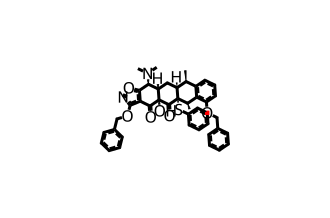 C[C@@H]1c2c(OCc3ccccc3)cccc2[C@H](C)[C@@H]2C[C@H]3[C@H](N(C)C)c4onc(OCc5ccccc5)c4C(=O)[C@@]3(O)C(=O)[C@]12Sc1ccccc1